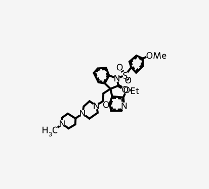 CCOc1ncccc1C1(CC(=O)N2CCN(C3CCN(C)CC3)CC2)C(=O)N(S(=O)(=O)c2ccc(OC)cc2)c2ccccc21